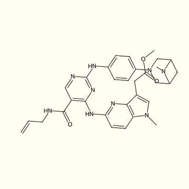 C=CCNC(=O)c1cnc(Nc2ccc(N3CC4CC(C3)N4C)cc2)nc1Nc1ccc2c(n1)c(CC(=O)OC)cn2C